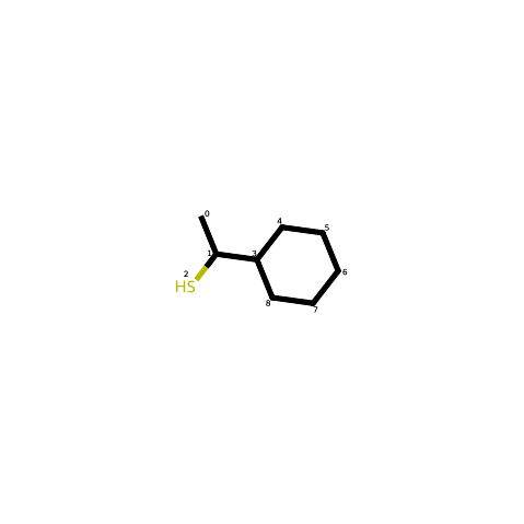 CC(S)C1CCCCC1